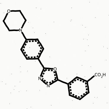 O=C(O)c1cccc(-c2nnc(-c3ccc(N4CCOCC4)cc3)o2)c1